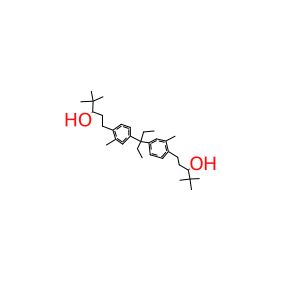 CCC(CC)(c1ccc(CCC(O)C(C)(C)C)c(C)c1)c1ccc(CCC(O)C(C)(C)C)c(C)c1